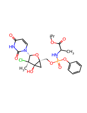 CC(C)OC(=O)C(C)NP(=O)(OC[C@]12C[C@]1(O)[C@@](C)(Cl)[C@H](n1ccc(=O)[nH]c1=O)O2)Oc1ccccc1